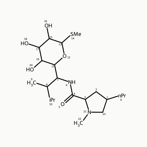 CCCC1CC(C(=O)NC(C(C)C(C)C)C2OC(SC)C(O)C(O)C2O)N(C)C1